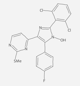 CSc1nccc(-c2nc(-c3c(Cl)cccc3Cl)n(O)c2-c2ccc(F)cc2)n1